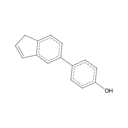 Oc1ccc(-c2ccc3c(c2)C=CC3)cc1